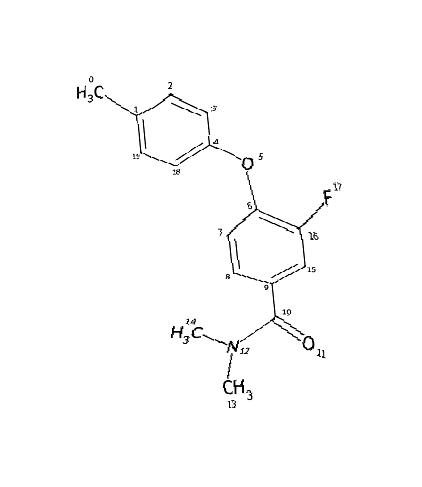 Cc1ccc(Oc2ccc(C(=O)N(C)C)cc2F)cc1